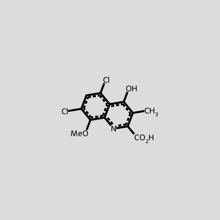 COc1c(Cl)cc(Cl)c2c(O)c(C)c(C(=O)O)nc12